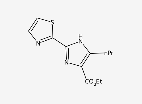 CCCc1[nH]c(-c2nccs2)nc1C(=O)OCC